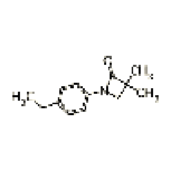 CCc1ccc(N2CC(C)(C)C2=O)cc1